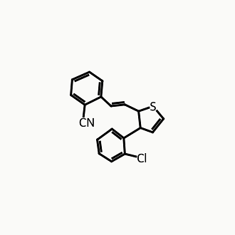 N#Cc1ccccc1C=CC1SC=CC1c1ccccc1Cl